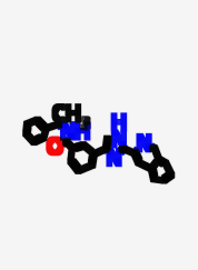 CC(NC(=O)c1cccc(-c2c[nH]c(-c3cc4ccccc4cn3)n2)c1)c1ccccc1